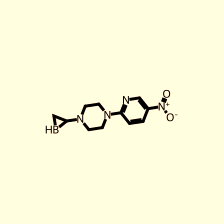 O=[N+]([O-])c1ccc(N2CCN(C3BC3)CC2)nc1